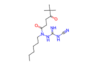 CCCCCCN(NC(=N)NC#N)C(=O)CCC(=O)C(C)(C)C